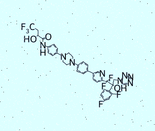 O=C(Nc1ccc(N2CCN(c3ccc(-c4ccc(C(F)(F)C(O)(Cn5cnnn5)c5ccc(F)cc5F)nc4)cc3)CC2)cc1)C(O)CC(F)(F)F